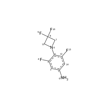 Nc1cc(F)c(N2CC(F)(F)C2)c(F)c1